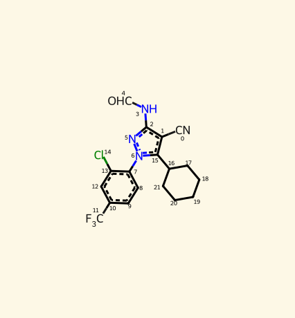 N#Cc1c(NC=O)nn(-c2ccc(C(F)(F)F)cc2Cl)c1C1CCCCC1